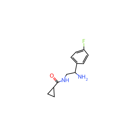 NC(CNC(=O)C1CC1)c1ccc(F)cc1